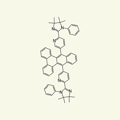 CC1(C)N=C(c2ccc(-c3c4ccccc4c(-c4ccc(C5=NC(C)(C)C(C)(C)N5c5ccccc5)nc4)c4c5ccccc5c5ccccc5c34)cn2)N(c2ccccc2)C1(C)C